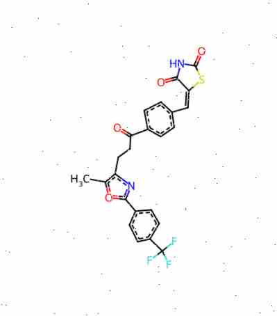 Cc1oc(-c2ccc(C(F)(F)F)cc2)nc1CCC(=O)c1ccc(/C=C2/SC(=O)NC2=O)cc1